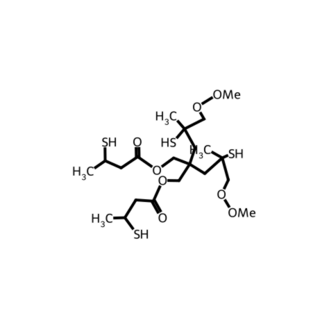 COOCC(C)(S)CC(COC(=O)CC(C)S)(COC(=O)CC(C)S)CC(C)(S)COOC